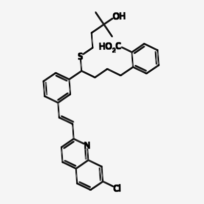 CC(C)(O)CCSC(CCCc1ccccc1C(=O)O)c1cccc(/C=C/c2ccc3ccc(Cl)cc3n2)c1